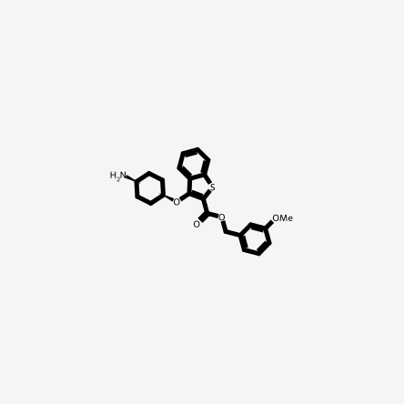 COc1cccc(COC(=O)c2sc3ccccc3c2O[C@H]2CC[C@@H](N)CC2)c1